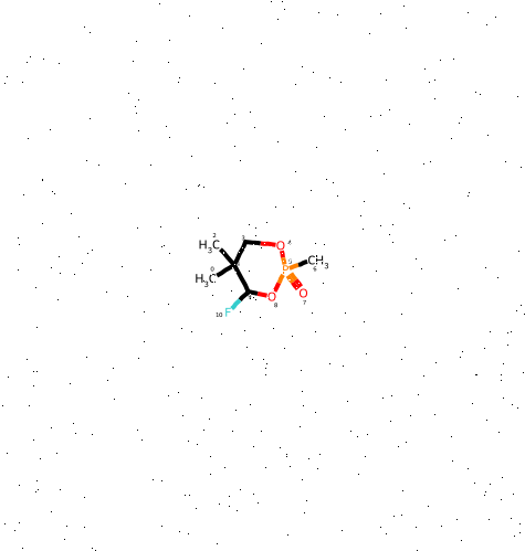 CC1(C)COP(C)(=O)OC1F